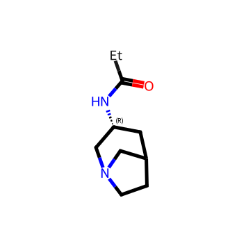 CCC(=O)N[C@@H]1CC2CCN(C2)C1